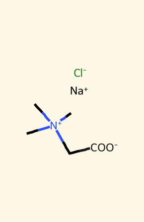 C[N+](C)(C)CC(=O)[O-].[Cl-].[Na+]